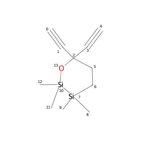 C#CC1(C#C)CC[Si](C)(C)[Si](C)(C)O1